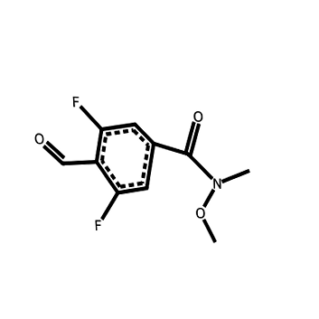 CON(C)C(=O)c1cc(F)c(C=O)c(F)c1